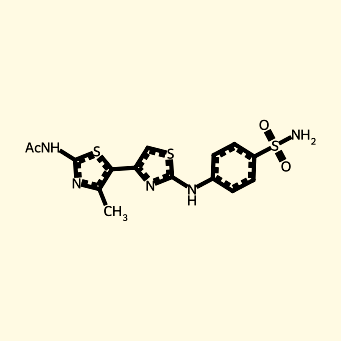 CC(=O)Nc1nc(C)c(-c2csc(Nc3ccc(S(N)(=O)=O)cc3)n2)s1